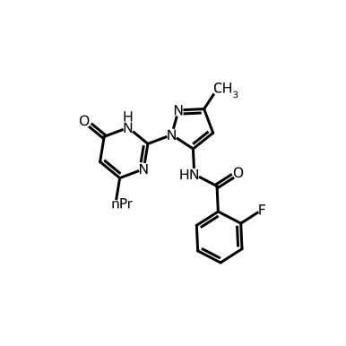 CCCc1cc(=O)[nH]c(-n2nc(C)cc2NC(=O)c2ccccc2F)n1